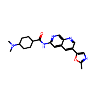 Cc1ncc(-c2cnc3cnc(NC(=O)C4CCC(N(C)C)CC4)cc3c2)o1